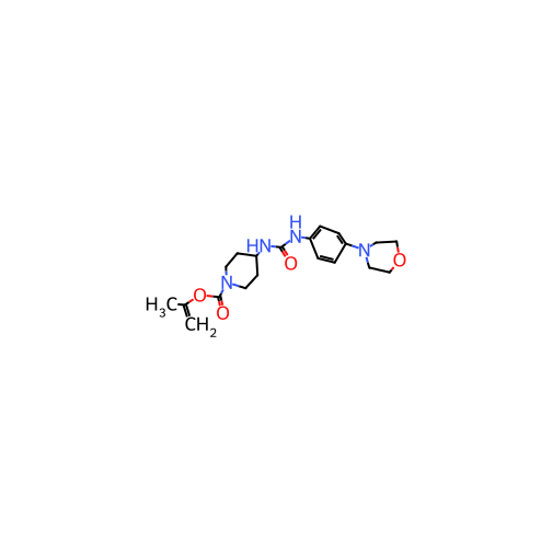 C=C(C)OC(=O)N1CCC(NC(=O)Nc2ccc(N3CCOCC3)cc2)CC1